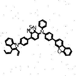 C=Cc1c(/C=C\C)c2ccccc2n1-c1ccc(-c2ccc(N(c3ccccc3)c3ccc(-c4ccc5c(c4)oc4ccccc45)cc3)c3nsnc23)cc1